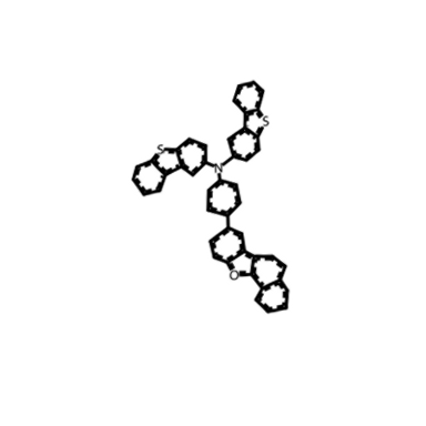 c1ccc2c(c1)ccc1c3cc(-c4ccc(N(c5ccc6sc7ccccc7c6c5)c5ccc6sc7ccccc7c6c5)cc4)ccc3oc21